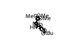 COc1cc(-c2cnc3[nH]cc(C(=O)C4(C)CCN(OC(=O)C(C)(C)C)CC4)c3n2)cc(OC)c1OC